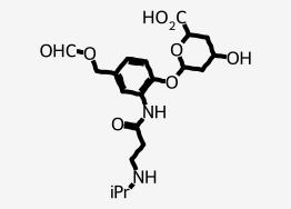 CC(C)NCCC(=O)Nc1cc(COC=O)ccc1OC1CC(O)CC(C(=O)O)O1